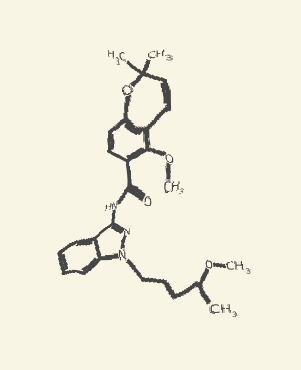 COc1c(C(=O)Nc2nn(CCCC(C)OC)c3ccccc23)ccc2c1C=CC(C)(C)O2